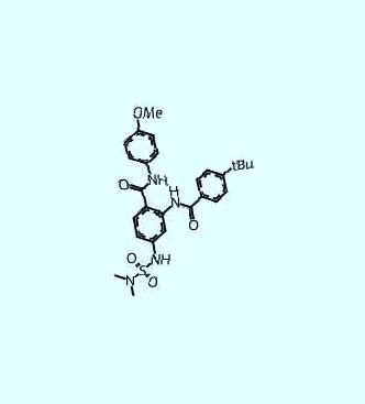 COc1ccc(NC(=O)c2ccc(NS(=O)(=O)N(C)C)cc2NC(=O)c2ccc(C(C)(C)C)cc2)cc1